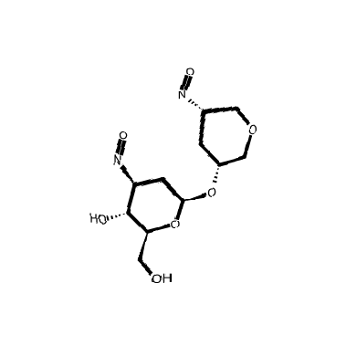 O=N[C@@H]1COC[C@H](O[C@@H]2C[C@H](N=O)[C@@H](O)[C@H](CO)O2)C1